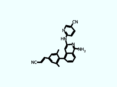 Cc1cc(/C=C/C#N)cc(C)c1-c1cccc2c(N)nc(Nc3ccc(C#N)cn3)cc12